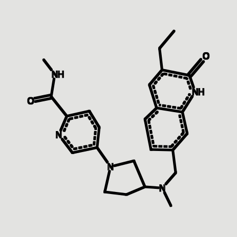 CCc1cc2ccc(CN(C)C3CCN(c4ccc(C(=O)NC)nc4)C3)cc2[nH]c1=O